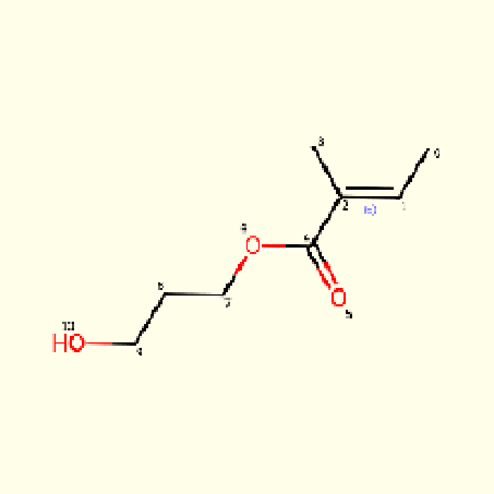 C/C=C(\C)C(=O)OCCCO